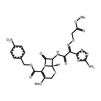 COC1=C(C(=O)OCc2ccc([N+](=O)[O-])cc2)N2C(=O)C(NC(=O)C(=NOCC(=O)OC(C)(C)C)c3nsc(N)n3)[C@@H]2SC1